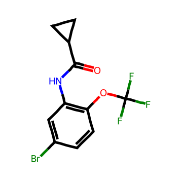 O=C(Nc1cc(Br)ccc1OC(F)(F)F)C1CC1